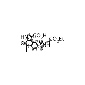 CCOC(=O)CCNS(=O)(=O)c1ccc2[nH]c(=O)c3[nH]cc(C(=O)O)c3c2c1